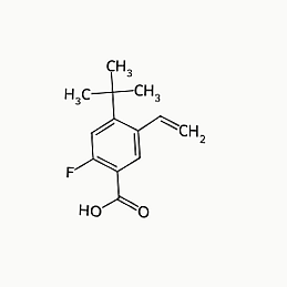 C=Cc1cc(C(=O)O)c(F)cc1C(C)(C)C